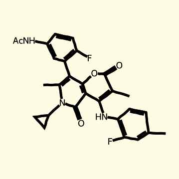 CC(=O)Nc1ccc(F)c(-c2c(C)n(C3CC3)c(=O)c3c(Nc4ccc(C)cc4F)c(C)c(=O)oc23)c1